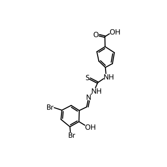 O=C(O)c1ccc(NC(=S)N/N=C/c2cc(Br)cc(Br)c2O)cc1